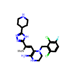 CN/C(=C\C1=C(N)NCCN1Cc1c(Cl)ccc(F)c1Cl)c1nnc(C2CCNCC2)[nH]1